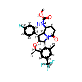 COC(=O)NC1CCC(=O)N2C[C@H](O[C@H](C)c3cc(C)cc(C(F)(F)F)c3)[C@@H](c3ccc(F)cc3)C12